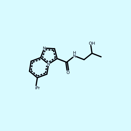 CC(O)CNC(=O)c1cnc2ccc(C(C)C)cn12